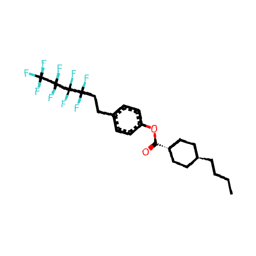 CCCC[C@H]1CC[C@H](C(=O)Oc2ccc(CCC(F)(F)C(F)(F)C(F)(F)C(F)(F)F)cc2)CC1